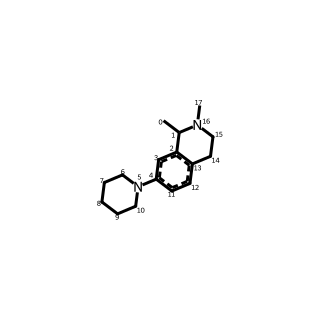 CC1c2cc(N3CCCCC3)ccc2CCN1C